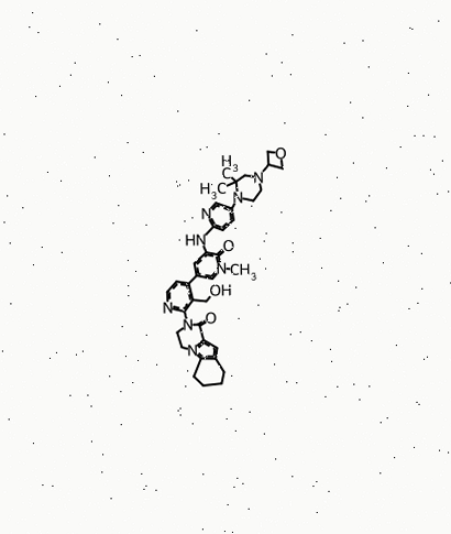 Cn1cc(-c2ccnc(N3CCn4c(cc5c4CCCC5)C3=O)c2CO)cc(Nc2ccc(N3CCN(C4COC4)CC3(C)C)cn2)c1=O